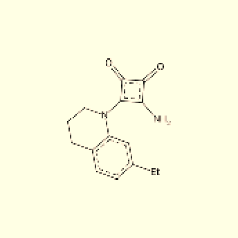 CCc1ccc2c(c1)N(c1c(N)c(=O)c1=O)CCC2